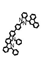 c1ccc(-c2nc3c(ccc4c5ccc(-c6ccc(-c7nc(-c8cc9ccccc9c9ccccc89)c8ccccc8n7)cc6)cc5n(-c5ccccc5)c43)c3ccccc23)cc1